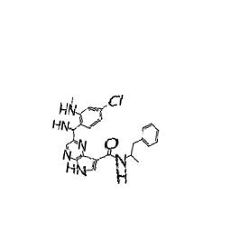 CNc1cc(Cl)ccc1C(=N)c1cnc2[nH]cc(C(=O)NC(C)Cc3ccccc3)c2n1